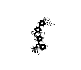 COc1cc(-c2ccc3c(c2)Nc2ccc(C(C[C@@H](O)C(N)=O)c4ccccc4)cc2NC3=O)ccc1[N+](=O)[O-]